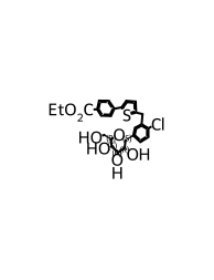 CCOC(=O)c1ccc(-c2ccc(Cc3cc([C@@H]4O[C@H](CO)[C@@H](O)[C@H](O)[C@H]4O)ccc3Cl)s2)cc1